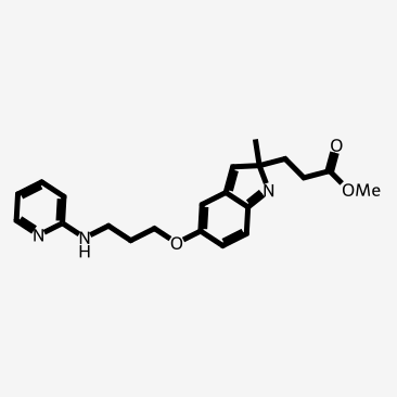 COC(=O)CCC1(C)C=c2cc(OCCCNc3ccccn3)ccc2=N1